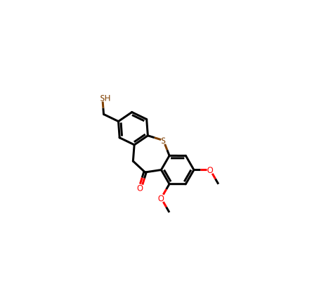 COc1cc(OC)c2c(c1)Sc1ccc(CS)cc1CC2=O